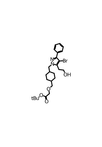 CC(C)(C)OC(=O)COCC1CCC(Cn2nc(-c3ccccc3)c(Br)c2CCO)CC1